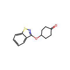 O=C1CCC(Oc2nsc3ccccc23)CC1